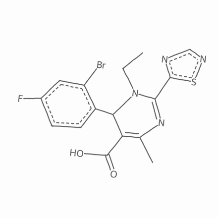 CCN1C(c2ncns2)=NC(C)=C(C(=O)O)C1c1ccc(F)cc1Br